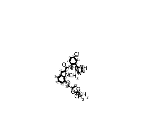 Cn1c(C(=O)Nc2ccc(Cl)cc2-c2nnn[nH]2)cc2cccc(OC[C@H]3COC(C)(C)O3)c21